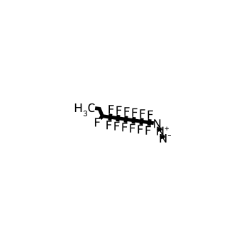 CCC(F)C(F)(F)C(F)(F)C(F)(F)C(F)(F)C(F)(F)C(F)(F)N=[N+]=[N-]